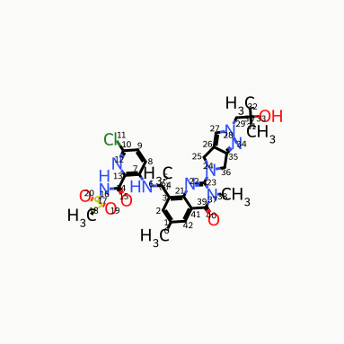 Cc1cc([C@@H](C)Nc2ccc(Cl)nc2C(=O)NS(C)(=O)=O)c2nc(N3Cc4cn(CC(C)(C)O)nc4C3)n(C)c(=O)c2c1